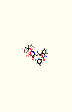 CC(C)(C)OC(=O)NC(CS[Se]c1ccccc1NS(=O)(=O)c1ccccc1)C(=O)O